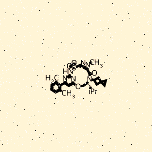 Cc1cccc(C)c1-c1cc2nc(n1)NS(=O)(=O)c1cc(n(C)n1)C(=O)N(C1CC3(CC3)C1)[C@H](CC(C)C)CO2